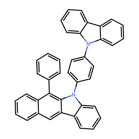 c1ccc(-c2c3ccccc3cc3c4ccccc4n(-c4ccc(-n5c6ccccc6c6ccccc65)cc4)c23)cc1